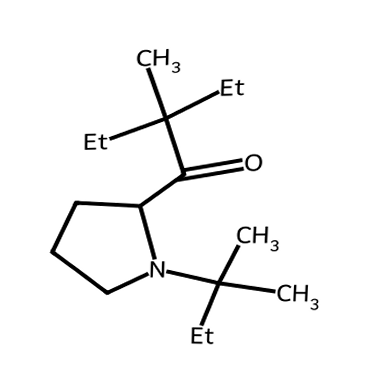 CCC(C)(CC)C(=O)C1CCCN1C(C)(C)CC